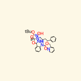 CC(C)[N@@+](CCCCc1ccccc1)(NC(=O)c1ccccc1NC(=O)OCc1ccccn1)N(O)C(=O)OC(C)(C)C